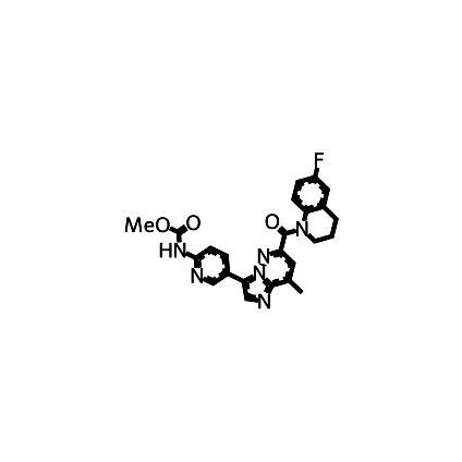 COC(=O)Nc1ccc(-c2cnc3c(C)cc(C(=O)N4CCCc5cc(F)ccc54)nn23)cn1